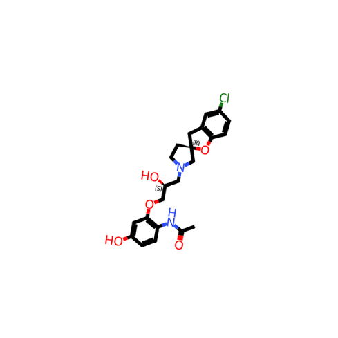 CC(=O)Nc1ccc(O)cc1OC[C@@H](O)CN1CC[C@]2(Cc3cc(Cl)ccc3O2)C1